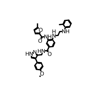 COc1ccc(-c2c[nH]nc2CNC(=O)c2ccc(NCCNc3ccccc3C)c(NC(=O)c3ccc(C)o3)c2)cc1